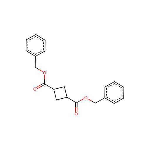 O=C(OCc1ccccc1)C1CC(C(=O)OCc2ccccc2)C1